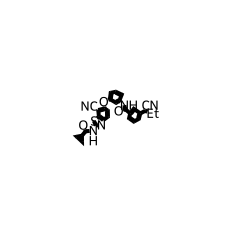 CCC(C#N)c1cccc(C(=O)Nc2cccc(Oc3ccc4nc(NC(=O)C5CC5)sc4c3C#N)c2)c1